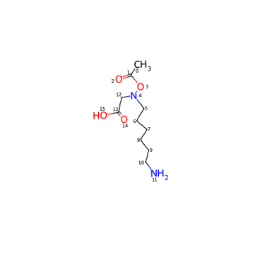 CC(=O)ON(CCCCCCN)CC(=O)O